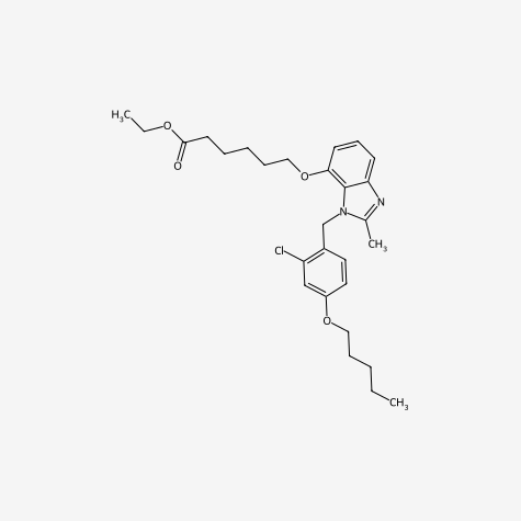 CCCCCOc1ccc(Cn2c(C)nc3cccc(OCCCCCC(=O)OCC)c32)c(Cl)c1